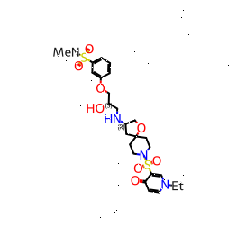 CCn1ccc(=O)c(S(=O)(=O)N2CCC3(CC2)C[C@@H](NC[C@H](O)COc2cccc(S(=O)(=O)NC)c2)CO3)c1